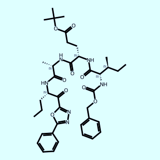 CCC[C@H](NC(=O)[C@H](C)NC(=O)[C@H](CCC(=O)OC(C)(C)C)NC(=O)[C@@H](NC(=O)OCc1ccccc1)[C@@H](C)CC)C(=O)c1nnc(-c2ccccc2)o1